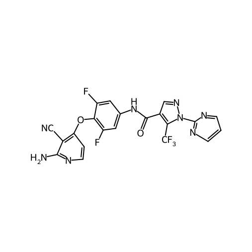 N#Cc1c(Oc2c(F)cc(NC(=O)c3cnn(-c4ncccn4)c3C(F)(F)F)cc2F)ccnc1N